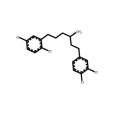 [CH2]C(CCCc1cc(Cl)ccc1Cl)CCc1ccc(Cl)c(Cl)c1